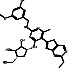 CCc1cc2cc(-c3c(C)nc(NCc4cc(OC)cc(OC)c4)nc3N[C@@H]3C[C@H](CO)[C@@H](O)[C@H]3O)oc2cn1